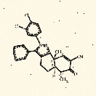 C[C@H]1C(=O)C(C#N)=C[C@@]2(C)c3nn(-c4ccc(Cl)c(Cl)c4)c(-c4ccccc4)c3CC[C@H]12